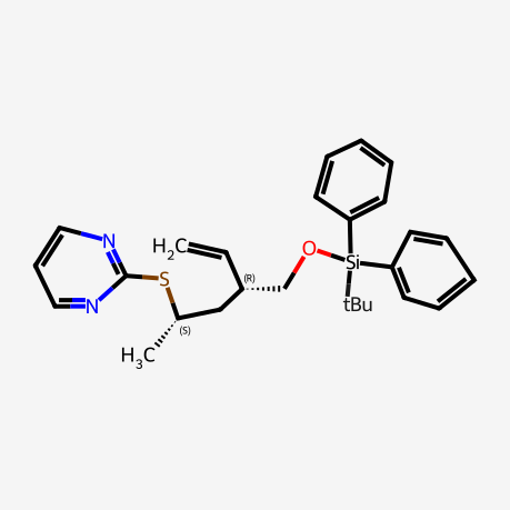 C=C[C@H](CO[Si](c1ccccc1)(c1ccccc1)C(C)(C)C)C[C@H](C)Sc1ncccn1